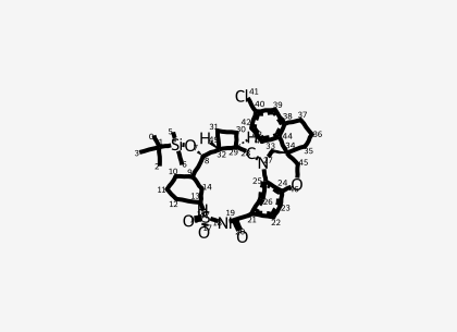 CC(C)(C)[Si](C)(C)O[C@H]1C2CCC[C@@H](C2)S(=O)(=O)NC(=O)c2ccc3c(c2)N(C[C@@H]2CC[C@H]21)C[C@@]1(CCCc2cc(Cl)ccc21)CO3